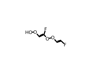 OOC=C(F)OOC=CF